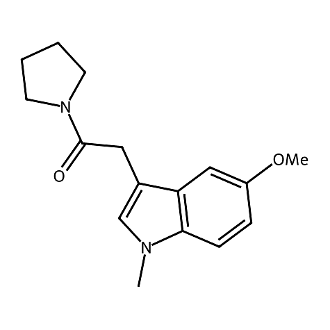 COc1ccc2c(c1)c(CC(=O)N1CCCC1)cn2C